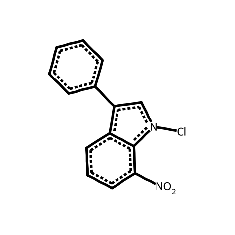 O=[N+]([O-])c1cccc2c(-c3ccccc3)cn(Cl)c12